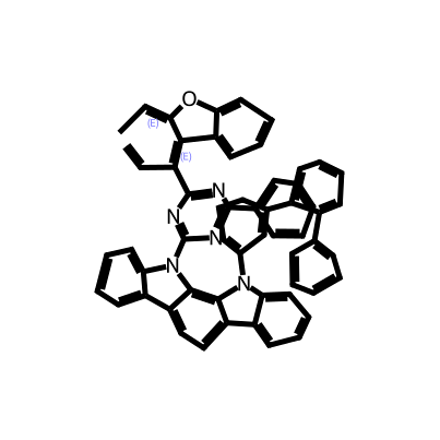 C=C/C(c1nc(-c2ccccc2)nc(-n2c3ccccc3c3ccc4c5ccccc5n(C5=CCCC(c6ccccc6-c6ccccc6)=C5)c4c32)n1)=c1\c(=C/C)oc2ccccc12